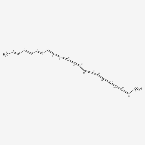 CC=CC=CC=CC=C=C=C=C=C=C=C=C=C=C=C=C=CC(=O)O